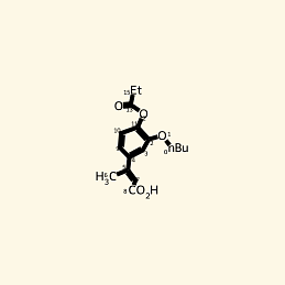 CCCCOc1cc(C(C)=CC(=O)O)ccc1OC(=O)CC